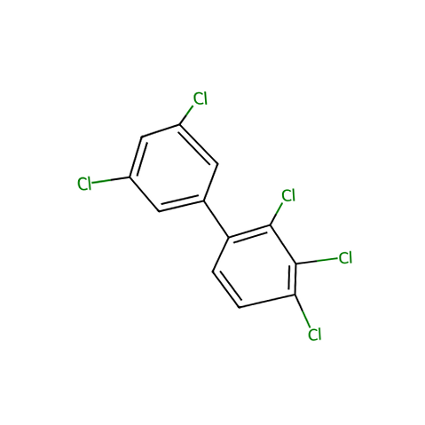 Clc1cc(Cl)cc(-c2ccc(Cl)c(Cl)c2Cl)c1